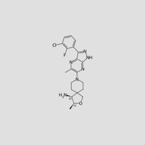 Cc1nc2c(-c3cccc(Cl)c3F)n[nH]c2nc1N1CCC2(CC1)CO[C@@H](C)[C@H]2N